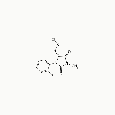 CN1C(=O)C(=NSCl)N(c2ccccc2F)C1=O